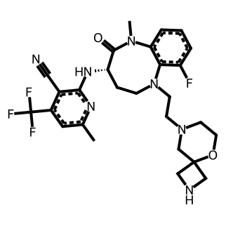 Cc1cc(C(F)(F)F)c(C#N)c(N[C@H]2CCN(CCN3CCOC4(CNC4)C3)c3c(F)cccc3N(C)C2=O)n1